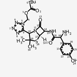 CC(C)(C)C(=O)OCn1nnnc1C1N2C(=O)C(NC(=O)C(N)c3ccc(O)cc3)[C@H]2SC1(C)C